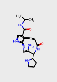 CC(C)NC(=O)c1c[nH]/c2c1=C=CC(=O)NC([C@@H]1CC=CN1)/C(N)=C/N=2